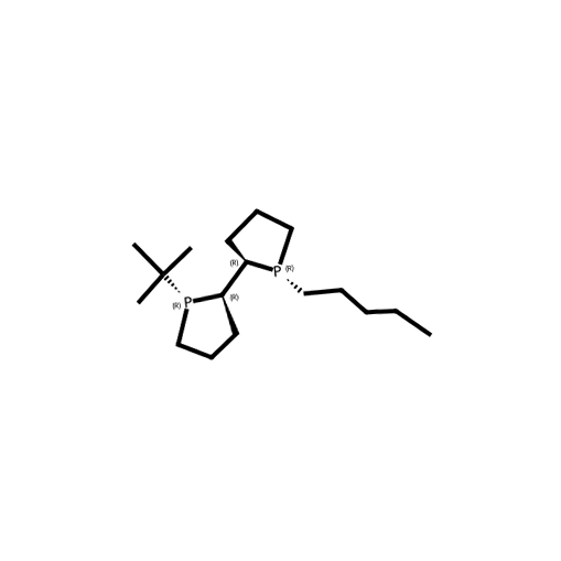 CCCCC[P@@]1CCC[C@@H]1[C@H]1CCC[P@]1C(C)(C)C